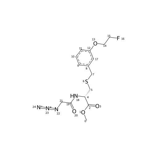 COC(=O)[C@@H](CSCc1cccc(OCCF)c1)NC(=O)CN=[N+]=[N-]